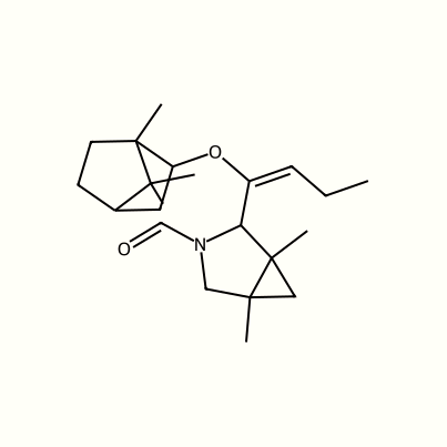 CC/C=C(/OC1CC2CCC1(C)C2(C)C)C1N(C=O)CC2(C)CC12C